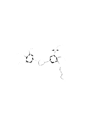 CCCOc1c(OCCCBr)cc(C2CCC(c3cc(OC)c(OC)c(OC)c3)O2)cc1S(=O)(=O)CC(C)=O